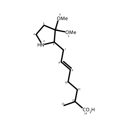 COC1(OC)CCNC1CC=CCCC(C)C(=O)O